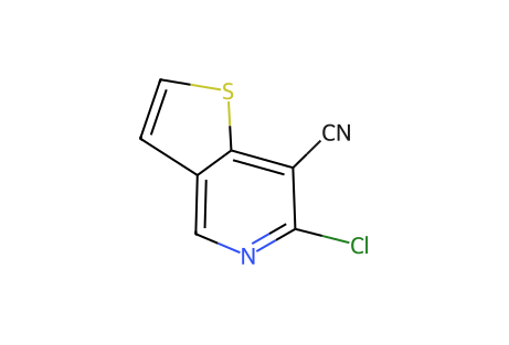 N#Cc1c(Cl)ncc2ccsc12